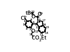 CCOC(=O)COc1ccc(Cl)cc1C1c2ccccc2CN1C(=O)OC(C)(C)C